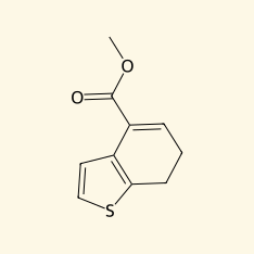 COC(=O)C1=CCCc2sccc21